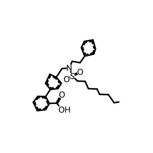 CCCCCCCCS(=O)(=O)N(CCc1ccccc1)Cc1ccc(-c2ccccc2C(=O)O)cc1